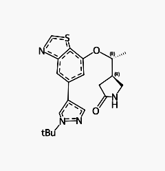 C[C@@H](Oc1cc(-c2cnn(C(C)(C)C)c2)cc2ncsc12)[C@H]1CNC(=O)C1